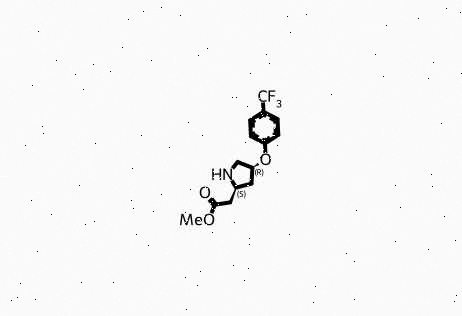 COC(=O)C[C@@H]1C[C@@H](Oc2ccc(C(F)(F)F)cc2)CN1